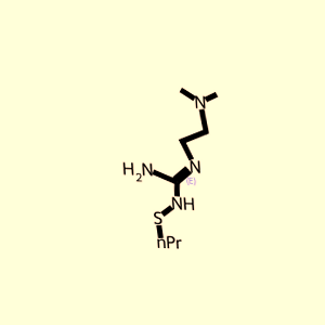 CCCSN/C(N)=N/CCN(C)C